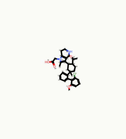 COc1cccc(Cl)c1-c1ccccc1C1(C)CCC(C(C)C)C(c2c3c(n(CC(=O)O)c2C)CCNC3=O)C1